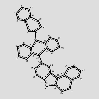 c1ccc2cc(-c3c4ccccc4c(-c4ccc5oc6ccc7ccccc7c6c5c4)c4ccccc34)ccc2c1